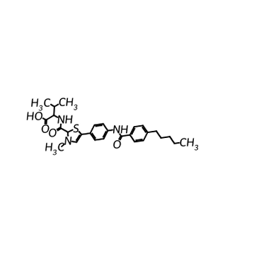 CCCCCc1ccc(C(=O)Nc2ccc(C3=CN(C)C(C(=O)NC(C(=O)O)C(C)C)S3)cc2)cc1